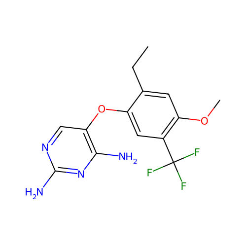 CCc1cc(OC)c(C(F)(F)F)cc1Oc1cnc(N)nc1N